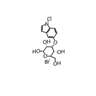 OC[C@@]1(Br)O[C@@H](O)[C@H](O)[C@@H](Oc2ccc3c(ccn3Cl)c2)[C@@H]1O